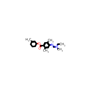 CCN(C)/C=N/c1cc(C)c(C(=O)OC2C=C(C)CCC2)cc1C